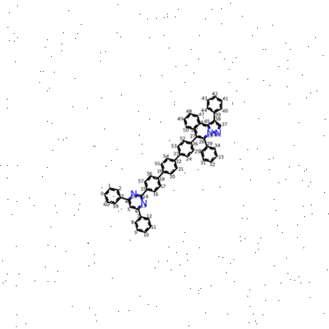 c1ccc(-c2cc(-c3ccccc3)nc(-c3ccc(-c4ccc(-c5ccc(-c6c(-c7ccccc7)n7ncc(-c8ccccc8)c7c7ccccc67)cc5)cc4)cc3)n2)cc1